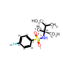 CC(C(=O)O)[C@@](C)(NS(=O)(=O)c1ccc(F)cc1)C(=O)O